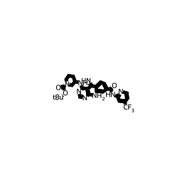 CC(C)(C)OC(=O)N1CCCC(Nc2ncnc(N)c2C(=N)c2ccc(C(=O)Nc3cc(C(F)(F)F)ccn3)cc2)C1